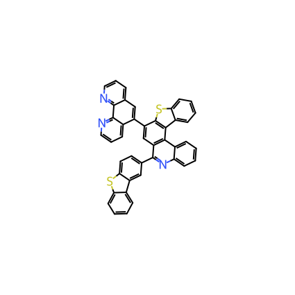 c1cnc2c(c1)cc(-c1cc3c(-c4ccc5sc6ccccc6c5c4)nc4ccccc4c3c3c1sc1ccccc13)c1cccnc12